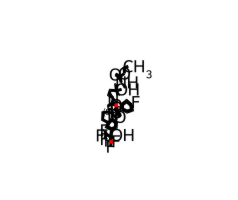 CCOC(=O)NCC1(O)CCN(C(=O)C[C@@H]2CCc3cc(C(O)(C(F)(F)F)C(F)(F)F)ccc3N2S(=O)(=O)c2ccc(F)cc2)C1